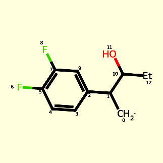 [CH2]C(c1ccc(F)c(F)c1)C(O)CC